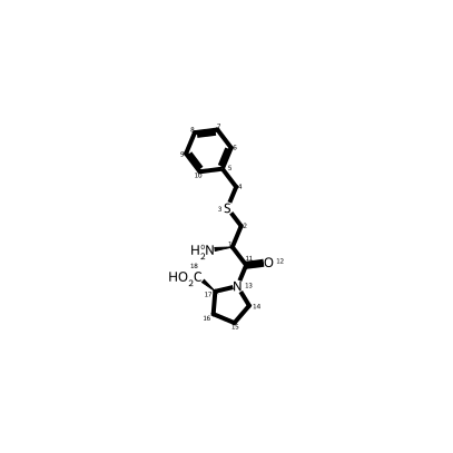 N[C@@H](CSCc1ccccc1)C(=O)N1CCC[C@H]1C(=O)O